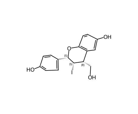 OC[C@H]1c2cc(O)ccc2O[C@@H](c2ccc(O)cc2)[C@H]1I